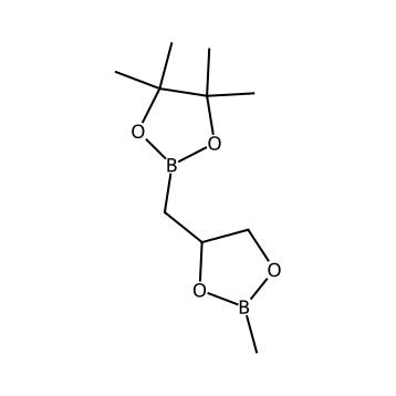 CB1OCC(CB2OC(C)(C)C(C)(C)O2)O1